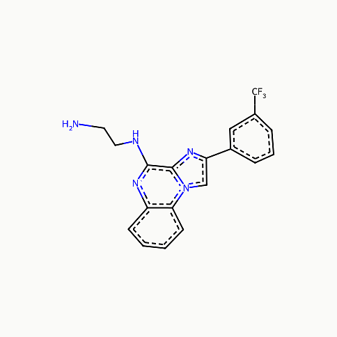 NCCNc1nc2ccccc2n2cc(-c3cccc(C(F)(F)F)c3)nc12